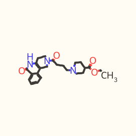 CCOC(=O)C1CCN(CCCC(=O)N2CCc3[nH]c(=O)c4ccccc4c3C2)CC1